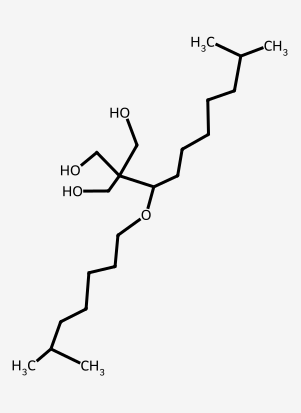 CC(C)CCCCCOC(CCCCCC(C)C)C(CO)(CO)CO